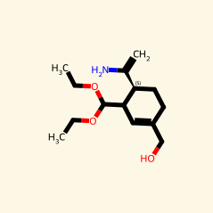 C=C(N)[C@H]1CCC(CO)=CC1C(OCC)OCC